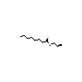 C=CCOC(=O)CCCCCCC